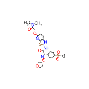 CN(C)C(=O)COc1ccc2nc(NC(=O)/C(=N/O[C@@H]3CCOC3)c3ccc(S(=O)(=O)C4CC4)cc3)sc2n1